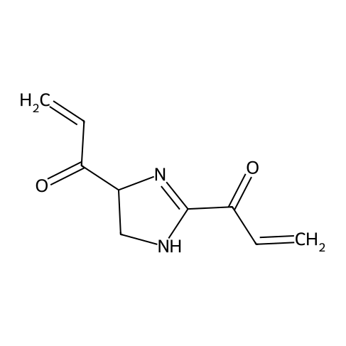 C=CC(=O)C1=NC(C(=O)C=C)CN1